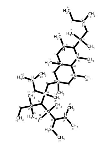 CC[SiH](C)C[Si](C)(C)C1[SiH](C)C[Si]2(C)C[Si](C)(C[Si](C)(C[SiH](C)C)C([Si](C)(C)CC)[Si](C)(C)C([SiH2]C)[SiH](C)C)C[SiH](C)C2[SiH]1C